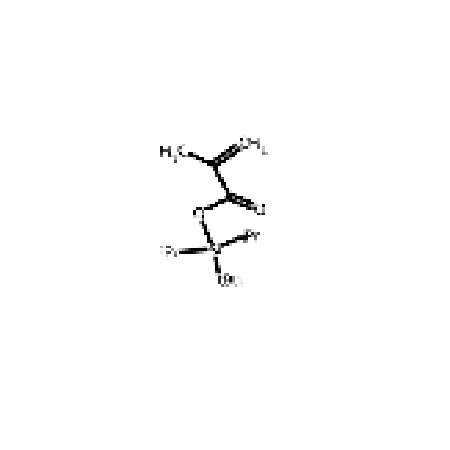 C=C(C)C(=O)O[Si](C(C)C)(C(C)C)C(C)(C)C